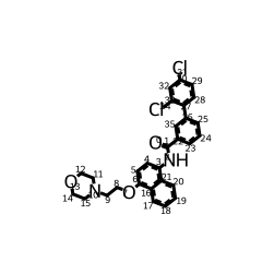 O=C(Nc1ccc(OCCN2CCOCC2)c2ccccc12)c1cccc(-c2ccc(Cl)cc2Cl)c1